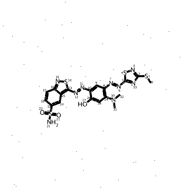 CSc1nsc(/N=N/c2cc(/N=N/c3snc4ccc(S(N)(=O)=O)cc34)c(O)cc2N(C)C)n1